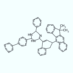 CC1(C)c2ccccc2-c2c1cc1ccccc1c2C1C=C(C2=NC(c3ccccc3)NC(c3ccc(-c4ccccc4)cc3)N2)c2ccccc2C1